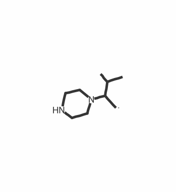 [CH2]C(C(C)C)N1CCNCC1